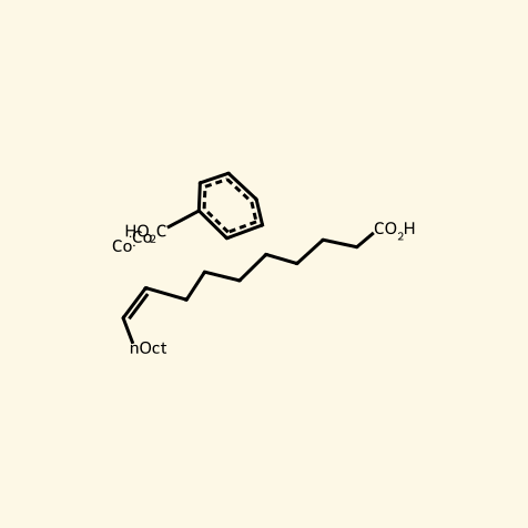 CCCCCCCC/C=C\CCCCCCCC(=O)O.O=C(O)c1ccccc1.[Co].[Co]